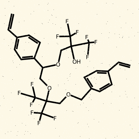 C=Cc1ccc(COCC(OCC(OCC(O)(C(F)(F)F)C(F)(F)F)c2ccc(C=C)cc2)(C(F)(F)F)C(F)(F)F)cc1